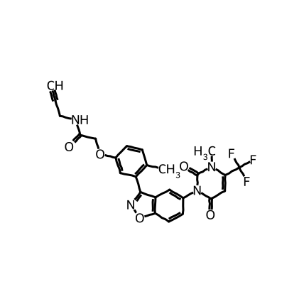 C#CCNC(=O)COc1ccc(C)c(-c2noc3ccc(-n4c(=O)cc(C(F)(F)F)n(C)c4=O)cc23)c1